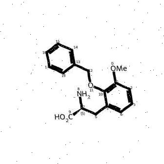 COc1cccc(C[C@H](N)C(=O)O)c1OCc1ccccc1